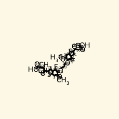 COc1cc2sc(C(=O)CC(C)(C)C(=O)O)cc2c(F)c1OCCCOc1c(OC)cc2sc(C(=O)CS(=O)(=O)O)cc2c1F